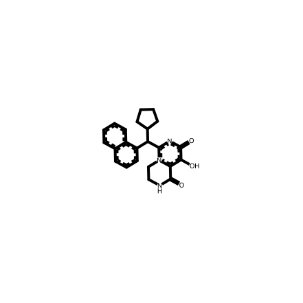 O=C1NCCn2c(C(c3cccc4ccccc34)C3CCCC3)nc(=O)c(O)c21